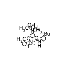 Cc1cccc(F)c1C(=O)N1CCC[C@H](C(=O)Nc2cccc(C(C)(C)C)c2)[C@@H]1c1ccc(N(C)CC(C)(C)O)cc1